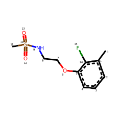 Cc1[c]ccc(OCCNS(C)(=O)=O)c1F